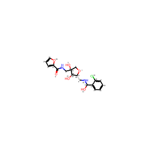 O=C(NC[C@]1(O)CO[C@H](CNC(O)c2ccccc2Cl)[C@H]1O)c1ccco1